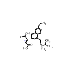 COc1ccc2c(CCN(C)C(C)C)cccc2c1.O=C(O)/C=C/C(=O)O